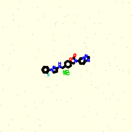 Cl.Cl.O=C1OC2(CCC(CNc3ccn(-c4ccccc4F)n3)CC2)CN1c1ccc2ncnn2c1